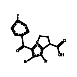 O=C(c1ccc(F)cc1)c1c(Br)c(Br)c2n1CCC2C(=O)O